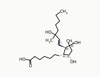 CCCCCC(C)(O)/C=C/[C@@H]1[C@@H](CCCCCCC(=O)O)[C@@H](O)C[C@@]1(C)O